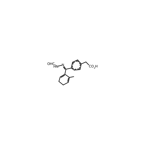 CC1=CCCC=C1/C(=N\NC=O)c1ccc(CC(=O)O)cc1